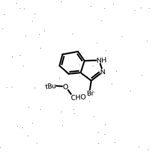 Brc1n[nH]c2ccccc12.CC(C)(C)OC=O